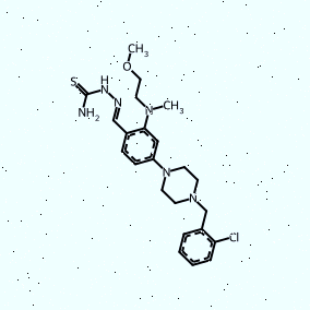 COCCN(C)c1cc(N2CCN(Cc3ccccc3Cl)CC2)ccc1/C=N/NC(N)=S